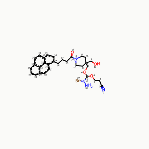 N#CCCOB(OCC1(CO)CCN(C(=O)CCCc2ccc3ccc4cccc5ccc2c3c45)CC1)N(N)Br